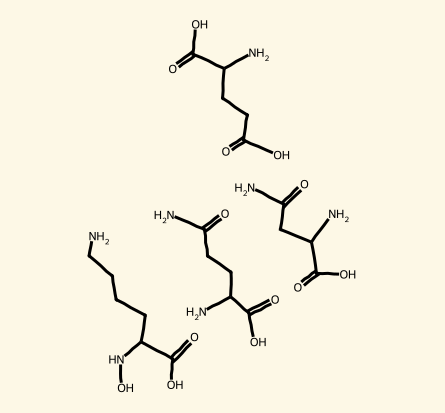 NC(=O)CC(N)C(=O)O.NC(=O)CCC(N)C(=O)O.NC(CCC(=O)O)C(=O)O.NCCCCC(NO)C(=O)O